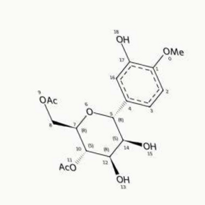 COc1ccc([C@H]2O[C@H](COC(C)=O)[C@@H](OC(C)=O)[C@H](O)[C@@H]2O)cc1O